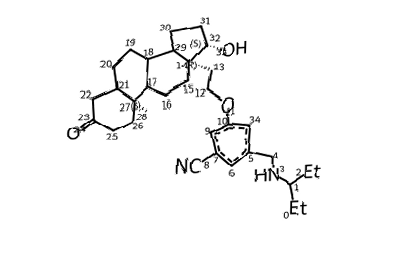 CCC(CC)NCc1cc(C#N)cc(OCC[C@]23CCC4C(CCC5CC(=O)CC[C@@]54C)C2CC[C@@H]3O)c1